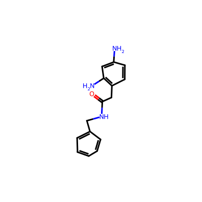 Nc1ccc(CC(=O)NCc2ccccc2)c(N)c1